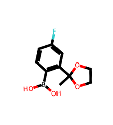 CC1(c2cc(F)ccc2B(O)O)OCCO1